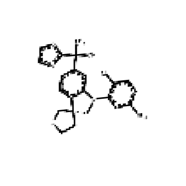 C[C@@](O)(c1ccc2c(c1)N(c1nc(N)ncc1Cl)C[C@@]21CCOC1)c1nccs1